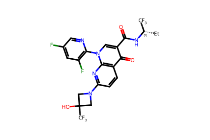 CC[C@H](NC(=O)c1cn(-c2ncc(F)cc2F)c2nc(N3CC(O)(C(F)(F)F)C3)ccc2c1=O)C(F)(F)F